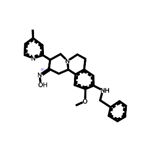 COc1cc2c(cc1NCc1ccccc1)CCN1CC(c3cc(C)ccn3)/C(=N/O)CC21